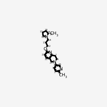 Cc1ccc(N2CCc3nc(OCCCN4CCC[C@@H]4C)ccc3C2)cn1